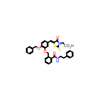 O=C(O)CN1C(=O)C(=Cc2ccc(OCc3ccccc3)c(OCc3ccccc3C(=O)NCCc3ccccc3)c2)SC1=S